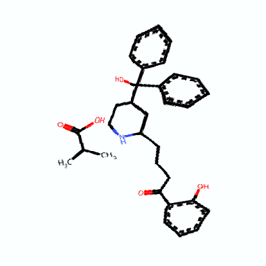 CC(C)C(=O)O.O=C(CCCC1CC(C(O)(c2ccccc2)c2ccccc2)CCN1)c1ccccc1O